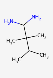 CC(C)C(C)(C)[C](N)N